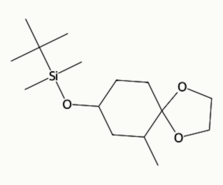 CC1CC(O[Si](C)(C)C(C)(C)C)CCC12OCCO2